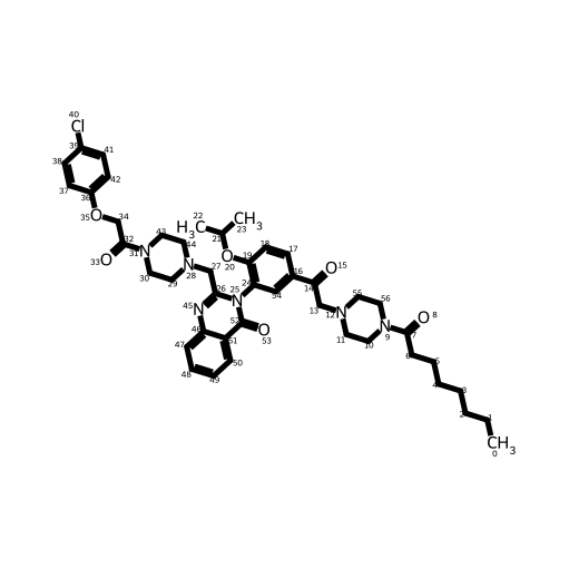 CCCCCCCC(=O)N1CCN(CC(=O)c2ccc(OC(C)C)c(-n3c(CN4CCN(C(=O)COc5ccc(Cl)cc5)CC4)nc4ccccc4c3=O)c2)CC1